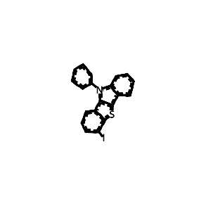 Ic1cccc2c1sc1c3ccccc3n(-c3ccccc3)c21